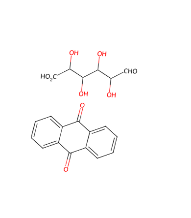 O=C1c2ccccc2C(=O)c2ccccc21.O=CC(O)C(O)C(O)C(O)C(=O)O